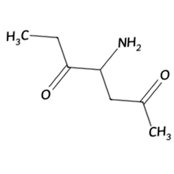 CCC(=O)C(N)CC(C)=O